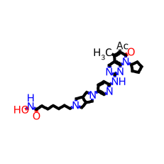 CC(=O)c1c(C)c2cnc(Nc3ccc(N4CC5CN(CCCCCCC(=O)NO)CC5C4)cn3)nc2n(C2CCCC2)c1=O